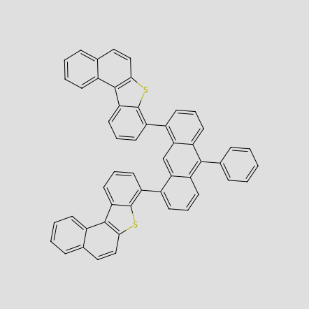 c1ccc(-c2c3cccc(-c4cccc5c4sc4ccc6ccccc6c45)c3cc3c(-c4cccc5c4sc4ccc6ccccc6c45)cccc23)cc1